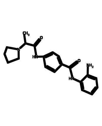 CC(C(=O)Nc1ccc(C(=O)Nc2ccccc2N)cc1)N1CCCC1